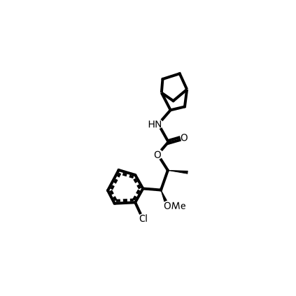 CO[C@@H](c1ccccc1Cl)[C@H](C)OC(=O)NC1CC2CCC1C2